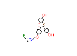 Oc1ccc(C2Sc3cc(O)ccc3OC2c2ccc(OCCN3CC[C@@H](CF)C3)cc2)cc1